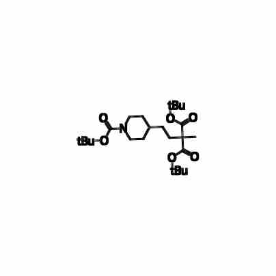 CC(C)(C)OC(=O)N1CCC(CCC(C)(C(=O)OC(C)(C)C)C(=O)OC(C)(C)C)CC1